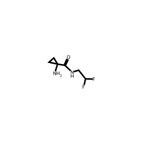 NC1(C(=O)NCC(F)F)CC1